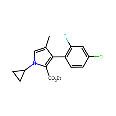 CCOC(=O)c1c(-c2ccc(Cl)cc2F)c(C)cn1C1CC1